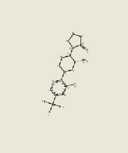 N[C@@H]1CN(c2ncc(C(F)(F)F)cc2Cl)CCC1N1CCCC1=O